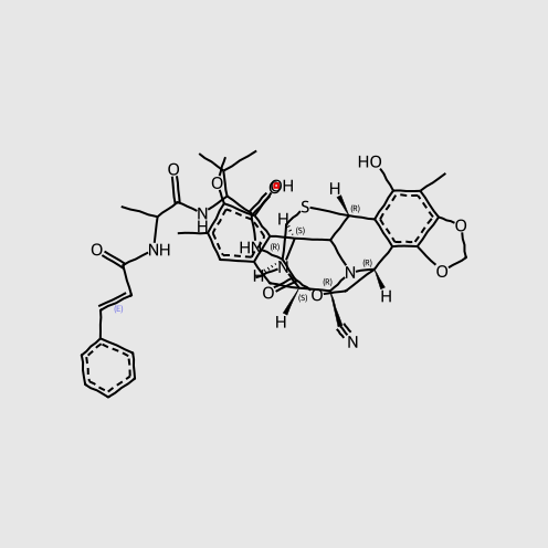 COc1c(C)cc2c(c1O)[C@H]1C3[C@@H]4SC[C@H](NC(=O)C(NC(=O)C(C)NC(=O)/C=C/c5ccccc5)C(C)C)C(=O)OC[C@@H](c5c6c(c(C)c(O)c54)OCO6)N3[C@@H](C#N)[C@H](C2)N1C